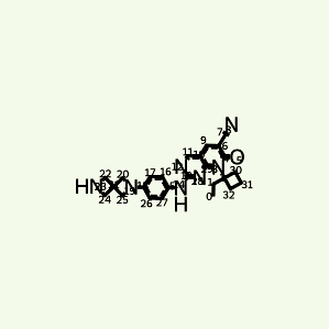 CCC1(n2c(=O)c(C#N)cc3cnc(Nc4ccc(N5CC6(CNC6)C5)cc4)nc32)CCC1